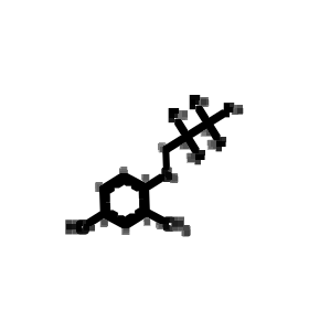 Cc1cc(O)ccc1SCC(F)(F)C(F)(F)F